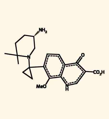 COc1c(C2(N3C[C@@H](N)CCC3(C)C)CC2)ccc2c(=O)c(C(=O)O)c[nH]c12